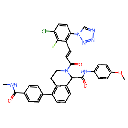 CNC(=O)c1ccc(-c2cccc3c2CCN(C(=O)/C=C/c2c(-n4cnnn4)ccc(Cl)c2F)C3C(=O)Nc2ccc(OC)cc2)cc1